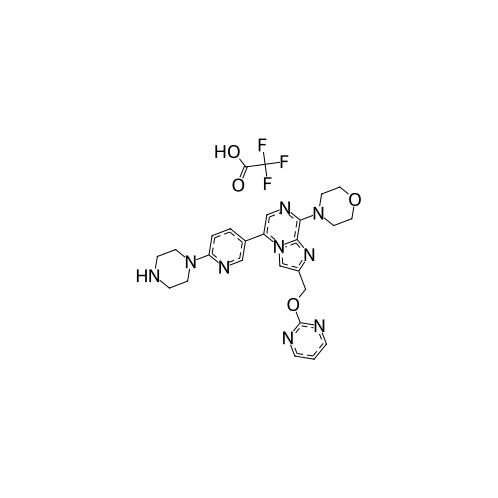 O=C(O)C(F)(F)F.c1cnc(OCc2cn3c(-c4ccc(N5CCNCC5)nc4)cnc(N4CCOCC4)c3n2)nc1